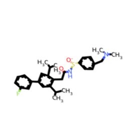 CC(C)c1cc(-c2cccc(F)c2)cc(C(C)C)c1CC(=O)N[S+]([O-])c1ccc(CN(C)C)cc1